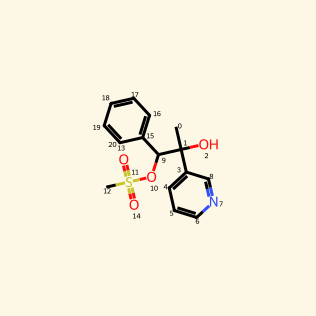 CC(O)(c1cccnc1)C(OS(C)(=O)=O)c1ccccc1